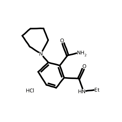 CCNC(=O)c1cccc(N2CCCCC2)c1C(N)=O.Cl